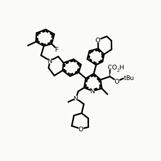 Cc1cccc(F)c1CN1CCc2cc(-c3c(CN(C)CC4CCOCC4)nc(C)c([C@H](OC(C)(C)C)C(=O)O)c3-c3ccc4c(c3)CCCO4)ccc2C1